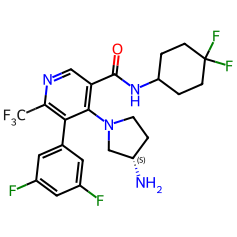 N[C@H]1CCN(c2c(C(=O)NC3CCC(F)(F)CC3)cnc(C(F)(F)F)c2-c2cc(F)cc(F)c2)C1